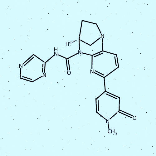 Cn1ccc(-c2ccc3c(n2)N(C(=O)Nc2cnccn2)[C@H]2CCN3C2)cc1=O